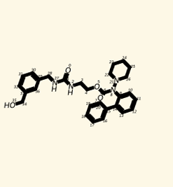 O=C(NCCOC(=O)N(c1ccccc1-c1ccccc1)N1CC[CH]CC1)NCc1cccc(CO)c1